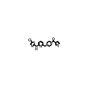 O=C(c1ccsc1)N1CCN(Cc2cccc(Nc3ncc(Cl)s3)n2)CC1